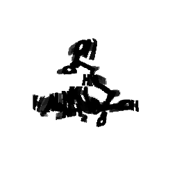 N.N.NN.O=C(O)CNCP(=O)(O)O